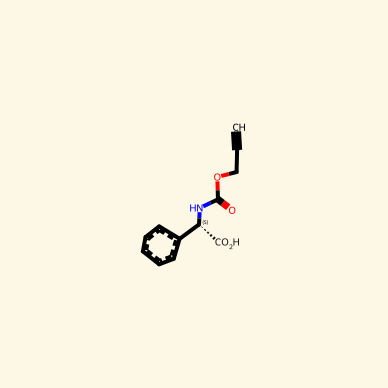 C#CCOC(=O)N[C@H](C(=O)O)c1ccccc1